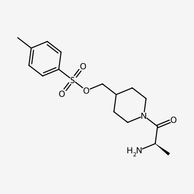 Cc1ccc(S(=O)(=O)OCC2CCN(C(=O)[C@@H](C)N)CC2)cc1